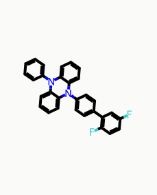 Fc1ccc(F)c(-c2ccc(N3c4ccccc4N(c4ccccc4)c4ccccc43)cc2)c1